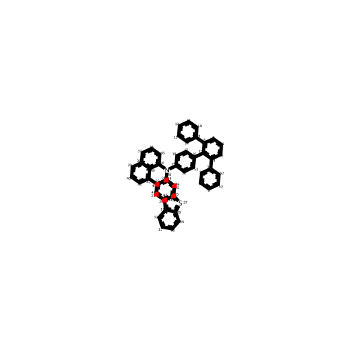 c1ccc(-c2cccc(-c3ccccc3)c2-c2ccc(N(c3ccc4c(c3)sc3ccccc34)c3cccc4cccc(C5CCCCC5)c34)cc2)cc1